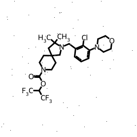 CC1(C)CC2(CCN(C(=O)OC(C(F)(F)F)C(F)(F)F)CC2)CN1Cc1cccc(N2CCOCC2)c1Cl